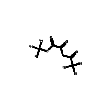 [2H]C([2H])([2H])OC(=O)C(=O)CC(=O)C([2H])([2H])CC